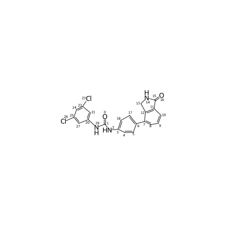 O=C(Nc1ccc(-c2cccc3c2CNC3=O)cc1)Nc1cc(Cl)cc(Cl)c1